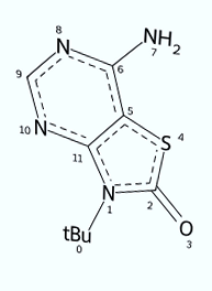 CC(C)(C)n1c(=O)sc2c(N)ncnc21